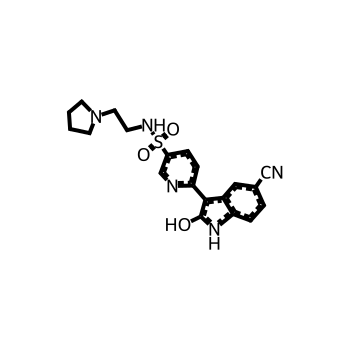 N#Cc1ccc2[nH]c(O)c(-c3ccc(S(=O)(=O)NCCN4CCCC4)cn3)c2c1